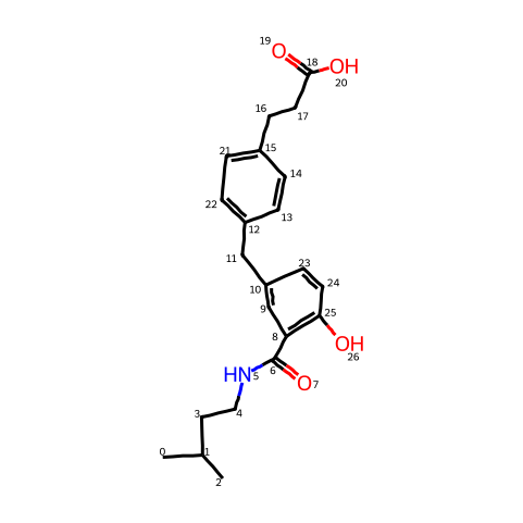 CC(C)CCNC(=O)c1cc(Cc2ccc(CCC(=O)O)cc2)ccc1O